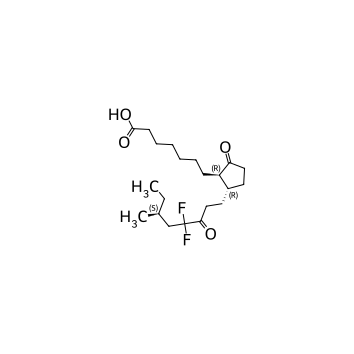 CC[C@H](C)CC(F)(F)C(=O)CC[C@H]1CCC(=O)[C@@H]1CCCCCCC(=O)O